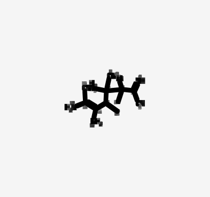 CCC(C)(C(=N)C#N)C(N)(C#N)C(C)/C(N)=C(/N)C#N